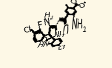 COC(=O)c1cc(N)c(C(=O)C[C@@H]2N[C@@]3(C(=O)Nc4cc(Cl)ccc43)[C@@H](c3cccc(Cl)c3F)[C@@H]2N)cc1C